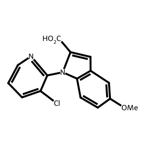 COc1ccc2c(c1)cc(C(=O)O)n2-c1ncccc1Cl